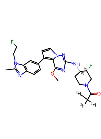 [2H]C([2H])([2H])C(=O)N1CC[C@H](Nc2nc(OC)c3c(-c4ccc5nc(C)n(CCF)c5c4)ccn3n2)[C@H](F)C1